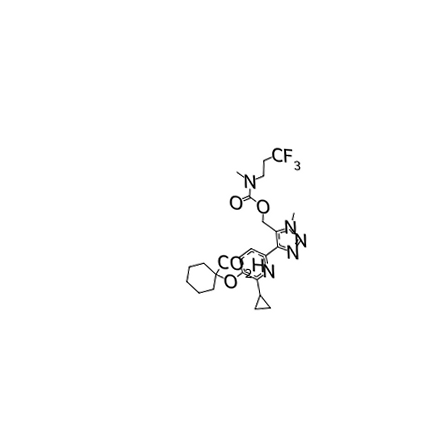 CN(CCC(F)(F)F)C(=O)OCc1c(-c2ccc(OC3(C(=O)O)CCCCC3)c(C3CC3)n2)nnn1C